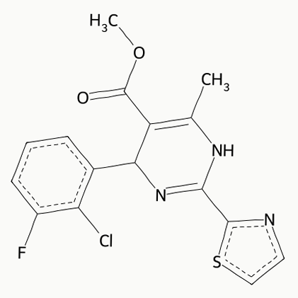 COC(=O)C1=C(C)NC(c2nccs2)=NC1c1cccc(F)c1Cl